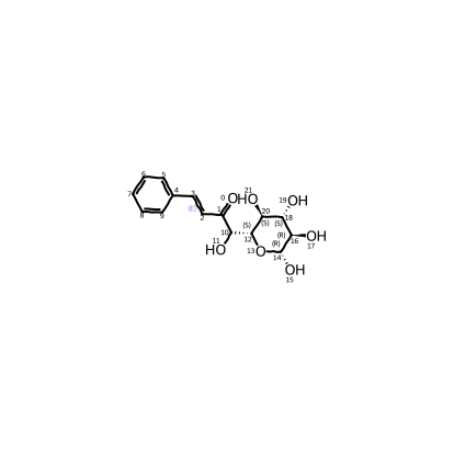 O=C(/C=C/c1ccccc1)C(O)[C@H]1O[C@@H](O)[C@H](O)[C@@H](O)[C@@H]1O